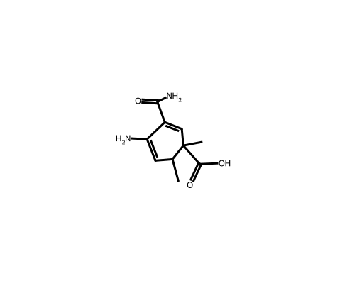 CC1C=C(N)C(C(N)=O)=CC1(C)C(=O)O